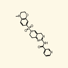 CN1CCOc2cc(S(=O)(=O)N3C=C4CN=C(NC(=O)c5cccnc5)N=C4CC3)ccc21